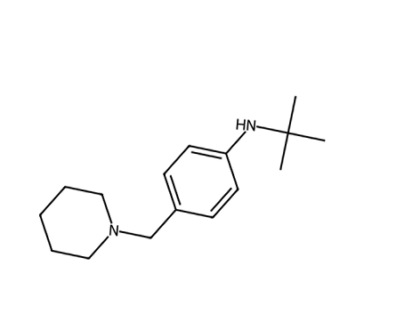 CC(C)(C)Nc1ccc(CN2CCCCC2)cc1